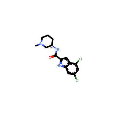 CN1CCC[C@@H](NC(=O)c2cc3c(Cl)cc(Cl)cc3[nH]2)C1